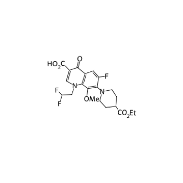 CCOC(=O)C1CCN(c2c(F)cc3c(=O)c(C(=O)O)cn(CC(F)F)c3c2OC)CC1